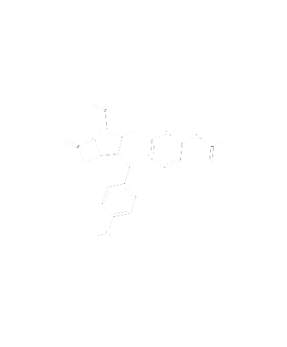 CC(=O)Nc1ccnc(SC2=C(C(=O)O)N3C(=O)CC3C2Cc2ccc([N+](=O)[O-])cc2)n1